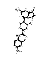 CC[C@H]1CN(C(=O)Nc2ccc(OC)cc2C)CCN1c1nc(N)nc2c(C)cnn12